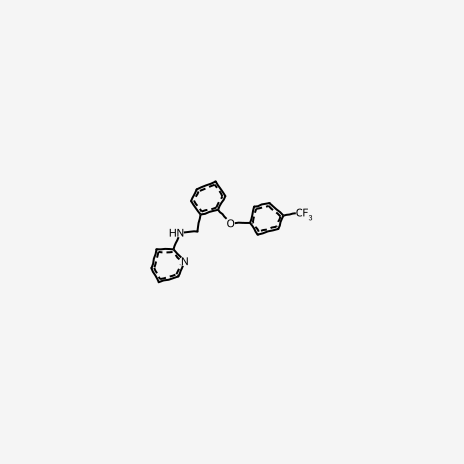 FC(F)(F)c1ccc(Oc2ccccc2CNc2ccccn2)cc1